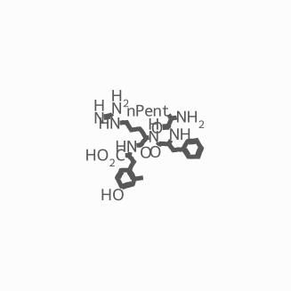 CCCCCC(N)C(=O)NC(Cc1ccccc1)C(=O)NC(CCCNC(=N)N)C(=O)NC(Cc1ccc(O)cc1C)C(=O)O